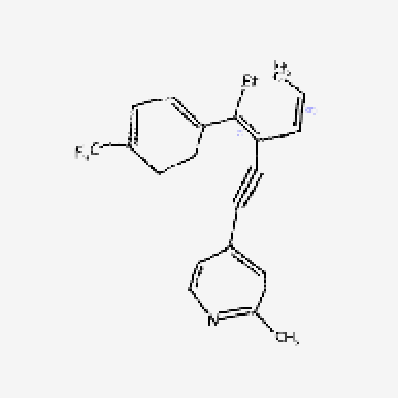 C/C=C\C(C#Cc1ccnc(C)c1)=C(/CC)C1=CC=C(C(F)(F)F)CC1